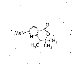 CNc1ccc2c(n1)[C@@H](C)C(C)(C)OC2=O